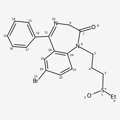 CC[S+]([O-])CCCN1C(=O)CN=C(c2ccccc2)c2cc(Br)ccc21